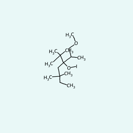 CCC(C)(C)CC(OI)(C(C)COC)C(C)(C)C